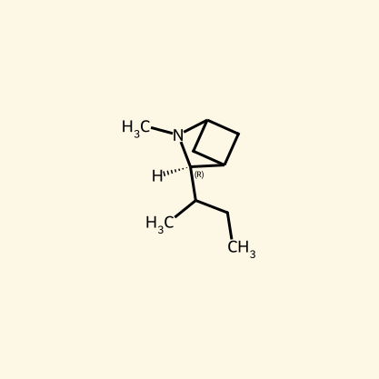 CCC(C)[C@@H]1C2CC(C2)N1C